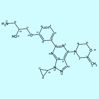 C=C1CN(c2nc(-c3cccc(OCC(O)CN)c3)nc3c2cnn3C2CC2)CCO1